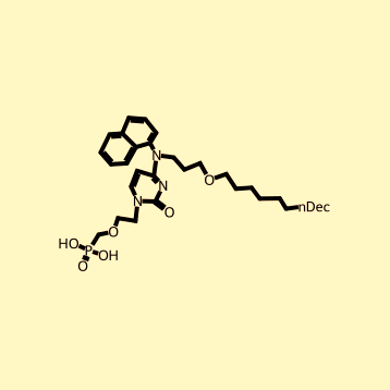 CCCCCCCCCCCCCCCCOCCCN(c1ccn(CCOCP(=O)(O)O)c(=O)n1)c1cccc2ccccc12